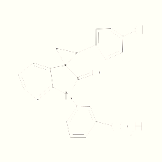 O=C(O)c1cccc(N2C(=O)C3(CC3c3ccc(Cl)cc3)c3ccccc32)c1